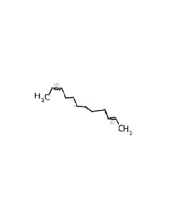 C/C=C\CC[CH]CCC/C=C/C